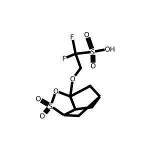 O=S1(=O)OC2(OCC(F)(F)S(=O)(=O)O)CC3CC2C1C3